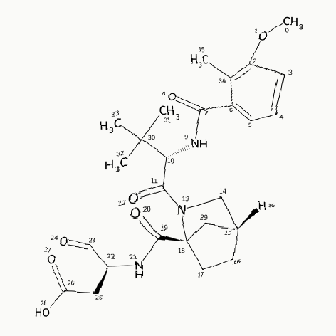 COc1cccc(C(=O)N[C@H](C(=O)N2C[C@@H]3CC[C@@]2(C(=O)N[C@H](C=O)CC(=O)O)C3)C(C)(C)C)c1C